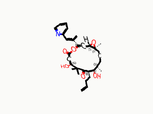 C=CCC[C@H]1C(=O)C(C)(C)[C@@H](O)CC(=O)O[C@H](C(C)=Cc2ccccn2)C[C@@H]2O[C@@]2(C)CCC[C@H](C)[C@@H]1O